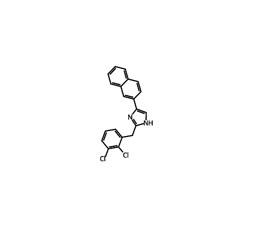 Clc1cccc(Cc2nc(-c3ccc4ccccc4c3)c[nH]2)c1Cl